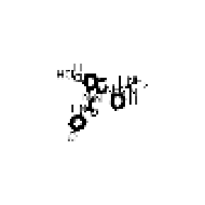 COc1ccc(NC(=O)c2nc(N[C@H]3CCCC[C@H]3NC(=N)N)c3c(C)cccc3n2)cc1.Cl.Cl